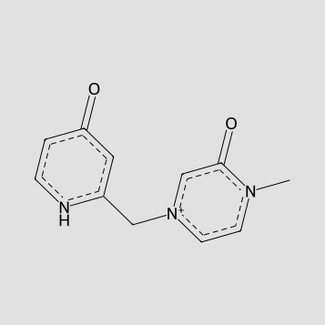 Cn1cc[n+](Cc2cc(=O)cc[nH]2)cc1=O